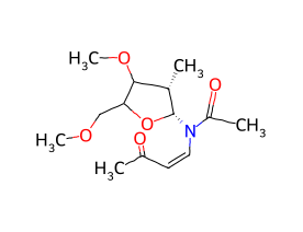 COCC1O[C@@H](N(/C=C\C(C)=O)C(C)=O)[C@@H](C)C1OC